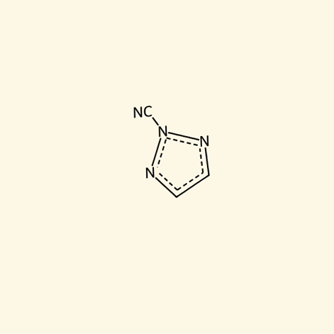 N#Cn1nccn1